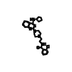 O=C(NCCN1CCN(c2nc(NC3CCCC3)c3ccccc3n2)CC1)c1ccccc1Cl